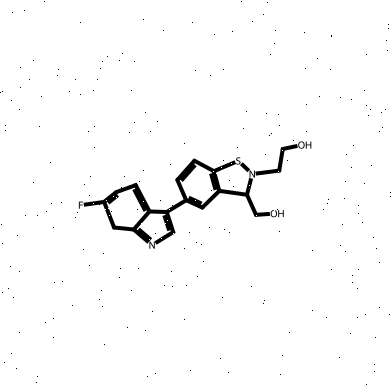 OCCN1Sc2ccc(C3=CN=C4CC(F)=CC=C34)cc2C1CO